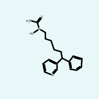 NC(=S)N(O)CCCCCC(c1ccccc1)c1cccnc1